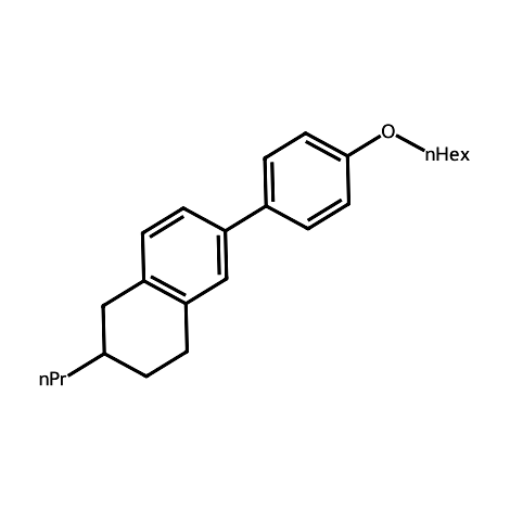 CCCCCCOc1ccc(-c2ccc3c(c2)CCC(CCC)C3)cc1